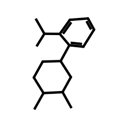 CC(C)c1ccccc1C1CCC(C)C(C)C1